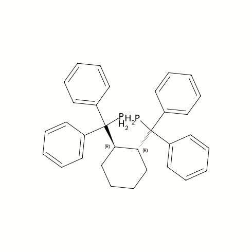 PC(c1ccccc1)(c1ccccc1)[C@@H]1CCCC[C@H]1C(P)(c1ccccc1)c1ccccc1